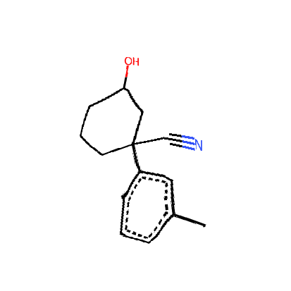 Cc1cccc(C2(C#N)CCCC(O)C2)c1